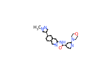 Cn1cc(-c2ccc3cnc(NC(=O)c4ccnc(N5CCOCC5)c4)cc3c2)cn1